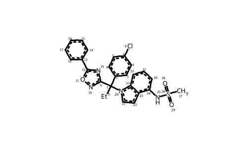 CCC(c1ccc(Cl)cc1)(c1noc(-c2ccccc2)n1)n1ccc2c(NS(C)(=O)=O)cccc21